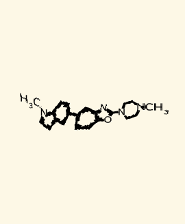 CN1CCN(c2nc3cc(-c4ccc5c(ccn5C)c4)ccc3o2)CC1